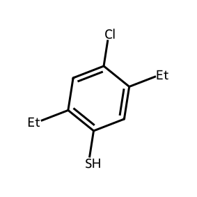 CCc1cc(Cl)c(CC)cc1S